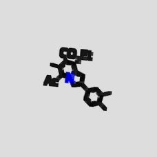 CCOC(=O)c1cc2cc(-c3ccc(C)c(C)c3)cn2c(C(C)=O)c1C